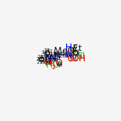 CCc1cc(Cl)c(O)c(C(=O)NCCCCN2CCN(C3=CC=S(c4ccccc4)N3c3ccccc3)CC2)c1OC.Cl.O